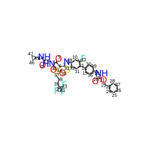 O=C(CNC(=O)C(c1nc2cc(F)c(-c3ccc(NC(=O)OCc4ccccc4)cc3)cc2s1)S(=O)(=O)CCCC(F)(F)F)NC1CC1